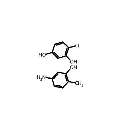 Cc1ccc(N)cc1O.Oc1ccc(Cl)c(O)c1